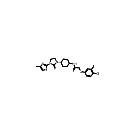 Cc1csc(N2CCN([C@H]3CC[C@H](NC(=O)COc4ccc(Cl)c(F)c4)CC3)C2=O)n1